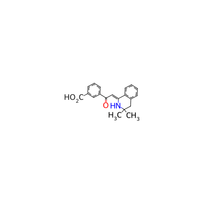 CC1(C)Cc2ccccc2C(=CC(=O)c2cccc(C(=O)O)c2)N1